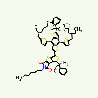 CCCCCCCN1C(=O)c2sc3c(-c4cc5c(-c6ccc(CC(CC)CCCC)s6)c6sc(C(C)(C)c7ccccc7)cc6c(-c6ccc(CC(CC)CCCC)s6)c5s4)sc(C(C)(CC)c4ccccc4)c3c2C1=O